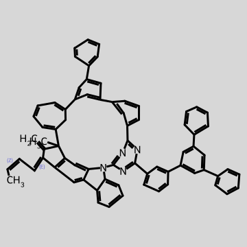 C=C1/C(=C\C=C/C)c2cc3c4ccccc4n4c3cc2C1(C)C1=CC=CC=C(C1)c1cc(-c2ccccc2)cc(c1)-c1cccc(c1)-c1nc(-c2cccc(-c3cc(-c5ccccc5)cc(-c5ccccc5)c3)c2)nc-4n1